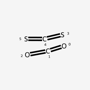 O=C=O.S=C=S